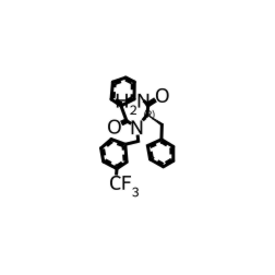 NC(=O)[C@@H](Cc1ccccc1)N(Cc1cccc(C(F)(F)F)c1)C(=O)c1ccccc1